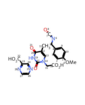 COc1ccc(CN=C=O)cc1.Cc1cn(CC(=O)O)c(=O)[nH]c1=O.O=C(O)c1cnccn1